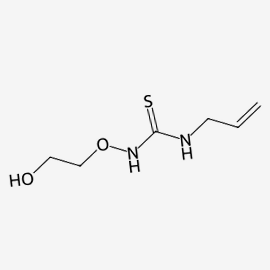 C=CCNC(=S)NOCCO